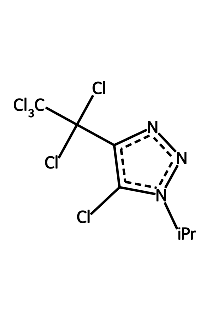 CC(C)n1nnc(C(Cl)(Cl)C(Cl)(Cl)Cl)c1Cl